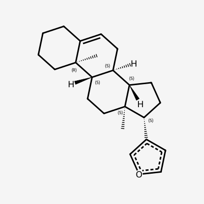 C[C@]12CC[C@H]3[C@@H](CC=C4CCCC[C@@]43C)[C@@H]1CC[C@@H]2c1ccoc1